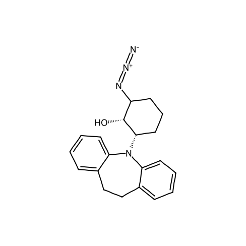 [N-]=[N+]=NC1CCC[C@H](N2c3ccccc3CCc3ccccc32)[C@@H]1O